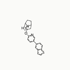 CN1C2CCC1CC(Oc1ccc(-c3ccc4sccc4c3)cn1)C2